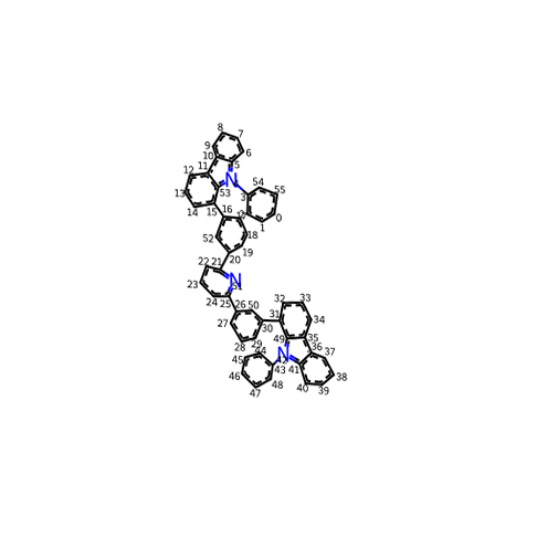 c1ccc(-n2c3ccccc3c3cccc(-c4cccc(-c5cccc(-c6cccc(-c7cccc8c9ccccc9n(-c9ccccc9)c78)c6)n5)c4)c32)cc1